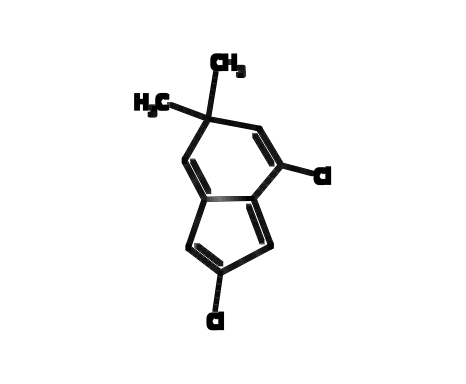 CC1(C)C=C(Cl)C2=CC(Cl)=CC2=C1